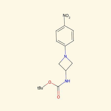 CC(C)(C)OC(=O)NC1CN(c2ccc([N+](=O)[O-])cc2)C1